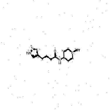 CC(C)N1CCC(NC(=O)CCCc2c[nH]nn2)CC1